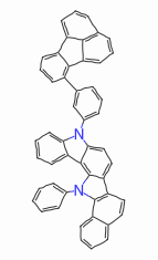 c1ccc(-n2c3c4ccccc4ccc3c3ccc4c(c5ccccc5n4-c4cccc(-c5cccc6c5-c5cccc7cccc-6c57)c4)c32)cc1